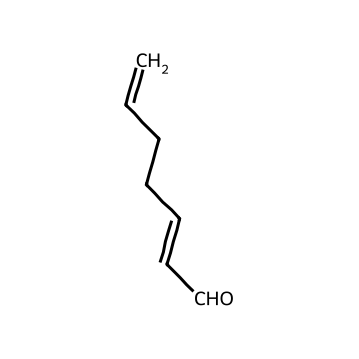 C=CCCC=CC=O